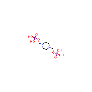 O=P(O)(O)OCN1CCN(COP(=O)(O)O)CC1